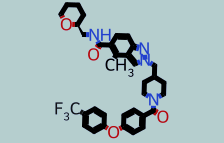 Cc1c(C(=O)NC[C@@H]2CCCCO2)ccc2nn(CC3CCN(C(=O)c4ccc(Oc5ccc(C(F)(F)F)cc5)cc4)CC3)cc12